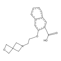 O=C(O)c1cc2ccccc2cc1OCCN1CC2(COC2)C1